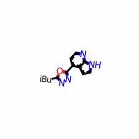 CCC(C)c1nnc(-c2ccnc3[nH]ccc23)o1